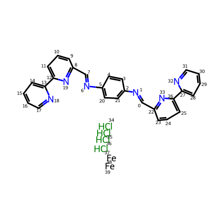 C(=Nc1ccc(N=Cc2cccc(-c3ccccn3)n2)cc1)c1cccc(-c2ccccn2)n1.Cl.Cl.Cl.Cl.[Fe].[Fe]